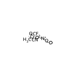 CC1=[C]C(=O)C(C(F)(F)F)C(c2ccc(C#[N+]CCOCc3ccccc3)cc2)=C1C#N